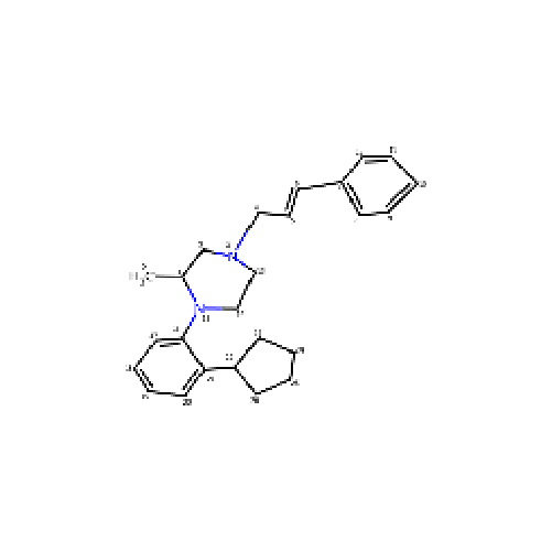 CC1CN(CC=Cc2ccccc2)CCN1c1ccccc1C1CCCC1